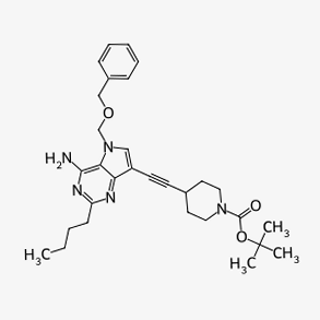 CCCCc1nc(N)c2c(n1)c(C#CC1CCN(C(=O)OC(C)(C)C)CC1)cn2COCc1ccccc1